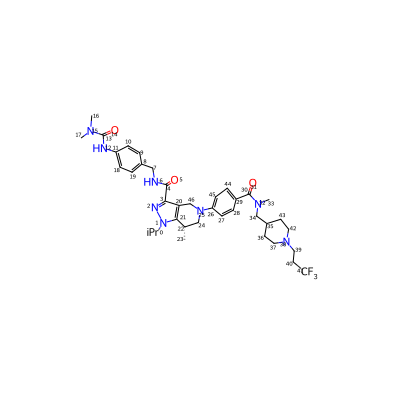 CC(C)n1nc(C(=O)NCc2ccc(NC(=O)N(C)C)cc2)c2c1[C@@H](C)CN(c1ccc(C(=O)N(C)CC3CCN(CCC(F)(F)F)CC3)cc1)C2